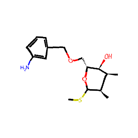 CSC1O[C@H](COCc2cccc(N)c2)[C@@H](O)[C@@H](C)[C@H]1C